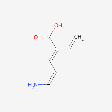 C=C/C(=C\C=C/N)C(=O)O